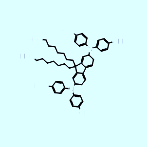 CCCCCCCCC1(CCCCCCCC)C2=CC(N(c3ccc(C)cc3)c3ccc(C)cc3)CC=C2C2=CCC(N(c3ccc(C)cc3)c3ccc(C)cc3)C=C21